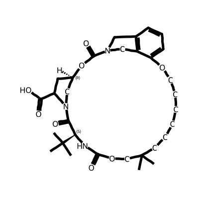 CC1(C)CCCCCCOc2cccc3c2CN(C3)C(=O)O[C@@H]2CC(C(=O)O)N(C2)C(=O)[C@H](C(C)(C)C)NC(=O)OC1